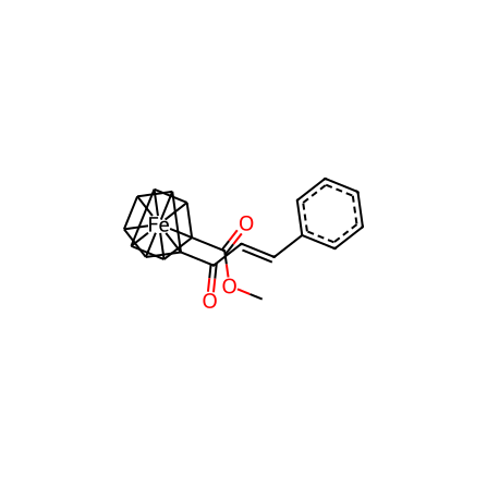 COC(=O)[C]12[CH]3[CH]4[CH]5[CH]1[Fe]45321678[CH]2[CH]1[CH]6[C]7(C(=O)C=Cc1ccccc1)[CH]28